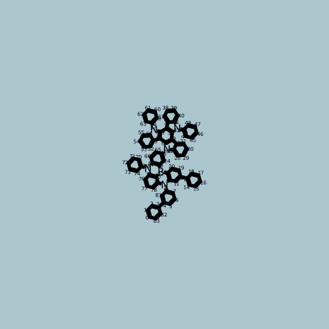 c1ccc(-c2cccc(N3c4cc(-c5ccccc5)ccc4B4c5cc(-n6c7ccccc7c7c8c(c9ccccc9n8-c8ccccc8)c8c(c9ccccc9n8-c8ccccc8)c76)ccc5N(c5ccccc5)c5cccc3c54)c2)cc1